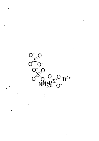 O=S(=O)([O-])[O-].O=S(=O)([O-])[O-].O=S(=O)([O-])[O-].[NH4+].[NH4+].[Ti+4]